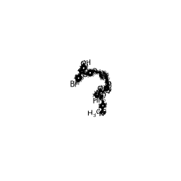 Cc1ncsc1-c1ccc(CNC(=O)[C@@H]2CCCN2C(=O)Cc2cc(OCCN3CCN(CCOc4ccc(Oc5c(-c6ccc(Br)cc6)sc6cc(O)ccc56)cc4)CC3)no2)cc1